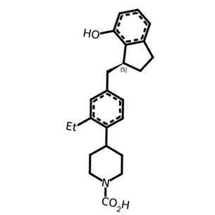 CCc1cc(C[C@@H]2CCc3cccc(O)c32)ccc1C1CCN(C(=O)O)CC1